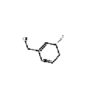 OCC1=C[C@H](F)CC=C1